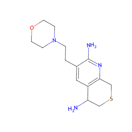 Nc1nc2c(cc1CCN1CCOCC1)C(N)CSC2